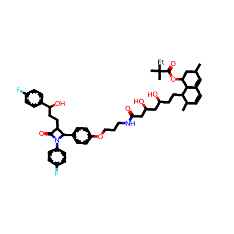 CCC(C)(C)C(=O)OC1CC(C)C=C2C=CC(C)C(CCC(O)CC(O)CC(=O)NCCCOc3ccc(C4C(CCC(O)c5ccc(F)cc5)C(=O)N4c4ccc(F)cc4)cc3)C21